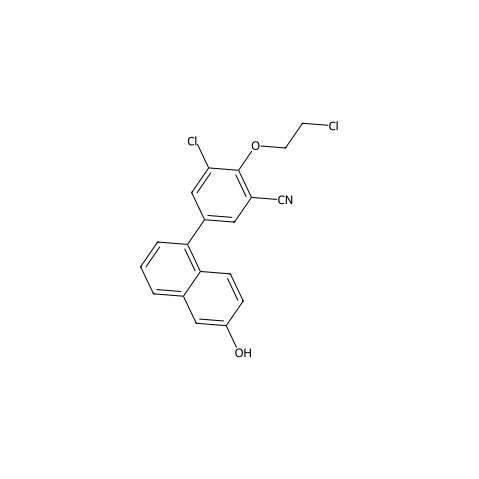 N#Cc1cc(-c2cccc3cc(O)ccc23)cc(Cl)c1OCCCl